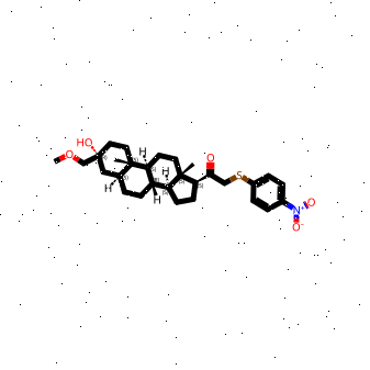 COC[C@@]1(O)CC[C@@]2(C)[C@@H](CC[C@@H]3[C@@H]2CC[C@]2(C)[C@@H](C(=O)CSc4ccc([N+](=O)[O-])cc4)CC[C@@H]32)C1